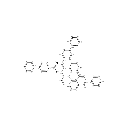 c1ccc(-c2ccc(-c3cc(-c4ccc5ccc6nc(-c7ccccc7)cc(-c7ccccc7)c6c5c4)cc(-c4ccc(-c5ccccc5)cc4)n3)cc2)cc1